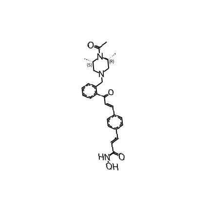 CC(=O)N1[C@H](C)CN(Cc2ccccc2C(=O)C=Cc2ccc(C=CC(=O)NO)cc2)C[C@@H]1C